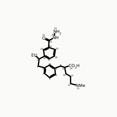 CCC(Cc1cccc(CC(CCCNC)C(=O)O)c1)c1cccc(C(=O)NN)c1